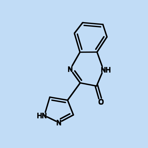 O=c1[nH]c2ccccc2nc1-c1cn[nH]c1